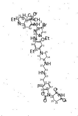 CCOc1cc(N2CCC(NCCNCCc3ccc4c(oc(=O)n4C4CCC(=O)NC4=O)c3F)CC2)c(CC)cc1Nc1ncc(Br)c(Nc2ccc3nc(CC)ccc3c2P(C)(C)=O)n1